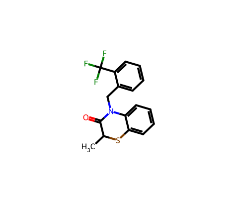 CC1Sc2ccccc2N(Cc2ccccc2C(F)(F)F)C1=O